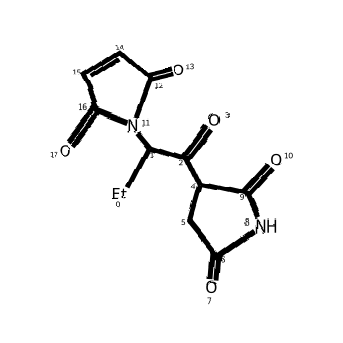 CCC(C(=O)C1CC(=O)NC1=O)N1C(=O)C=CC1=O